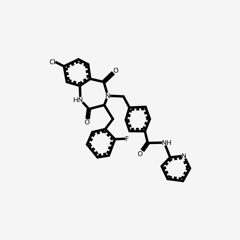 O=C(Nc1ccccn1)c1ccc(CN2C(=O)c3ccc(Cl)cc3NC(=O)C2Cc2ccccc2F)cc1